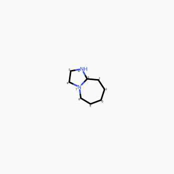 C1CCC2NCCN2CC1